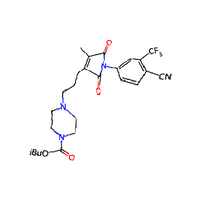 CC1=C(CCCN2CCN(C(=O)OCC(C)C)CC2)C(=O)N(c2ccc(C#N)c(C(F)(F)F)c2)C1=O